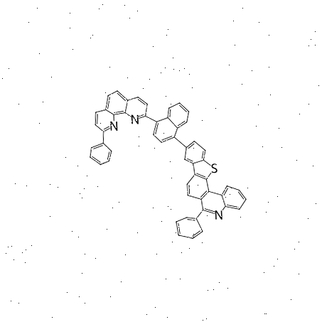 c1ccc(-c2ccc3ccc4ccc(-c5ccc(-c6ccc7sc8c(ccc9c(-c%10ccccc%10)nc%10ccccc%10c98)c7c6)c6ccccc56)nc4c3n2)cc1